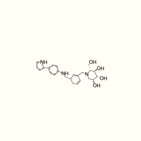 OC[C@@H]1[C@@H](O)[C@H](O)[C@@H](O)CN1CC1=CC(CNc2ccc(-c3ccc[nH]3)cc2)CC=C1